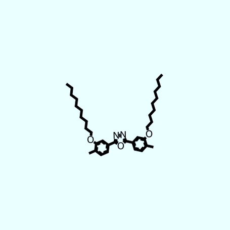 CCCCCCCCCCOc1cc(-c2nnc(-c3ccc(C)c(OCCCCCCCCCC)c3)o2)ccc1C